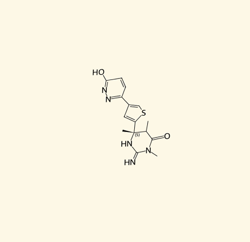 CC1C(=O)N(C)C(=N)N[C@]1(C)c1cc(-c2ccc(O)nn2)cs1